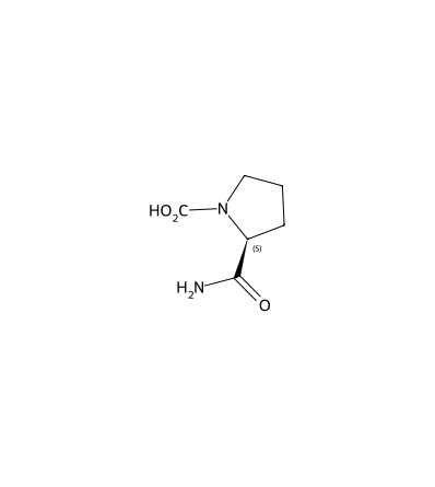 NC(=O)[C@@H]1CCCN1C(=O)O